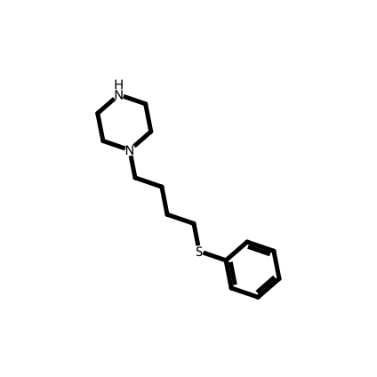 c1ccc(SCCCCN2CCNCC2)cc1